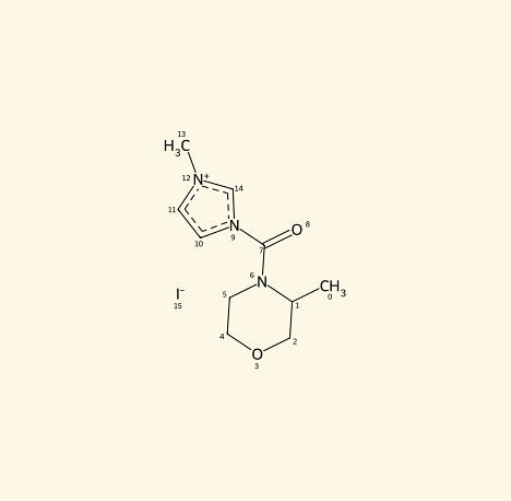 CC1COCCN1C(=O)n1cc[n+](C)c1.[I-]